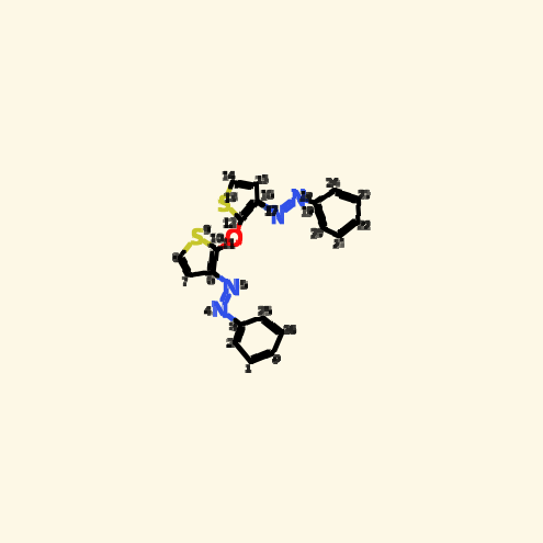 c1ccc(N=Nc2ccsc2Oc2sccc2N=Nc2ccccc2)cc1